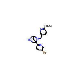 COc1ccc(CN2C3CNCC2(c2ccc(Br)cn2)C3)cn1